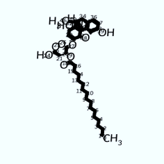 CCCCCCCCCCCCCCCCCC(=O)O[C@@H](CC(=O)O)C(=O)OC1=CC[C@@]2(O)[C@H]3Cc4ccc(O)c5c4C2(CCN3C)C1O5